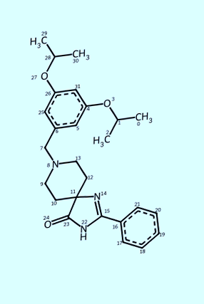 CC(C)Oc1cc(CN2CCC3(CC2)N=C(c2ccccc2)NC3=O)cc(OC(C)C)c1